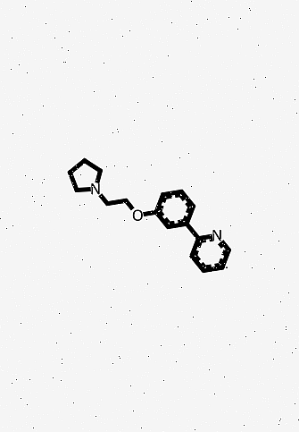 [c]1ccc(-c2cccc(OCCN3CCCC3)c2)nc1